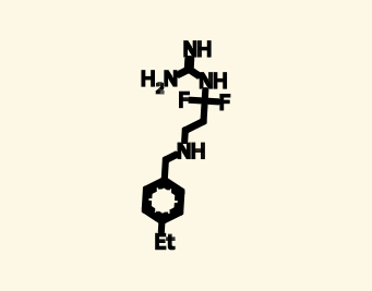 CCc1ccc(CNCCC(F)(F)NC(=N)N)cc1